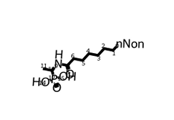 CCCCCCCCCCCCCCCC(=O)NC(C)P(=O)(O)O